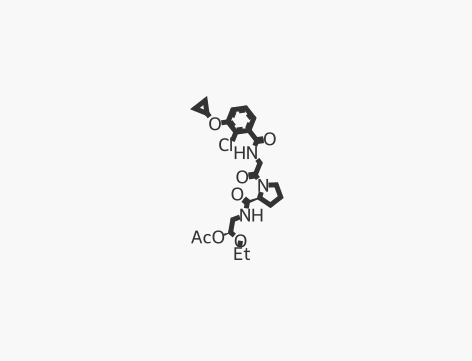 CCO[C@@H](CNC(=O)[C@@H]1CCCN1C(=O)CNC(=O)c1cccc(OC2CC2)c1Cl)OC(C)=O